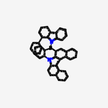 c1ccc(-c2cccc3c4ccccc4n(B4c5ccccc5-n5c6ccc7ccccc7c6c6c7ccccc7cc4c65)c23)cc1